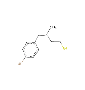 CC(CCS)Cc1ccc(Br)cc1